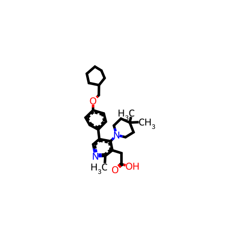 Cc1ncc(-c2ccc(OCC3CCCCC3)cc2)c(N2CCC(C)(C)CC2)c1CC(=O)O